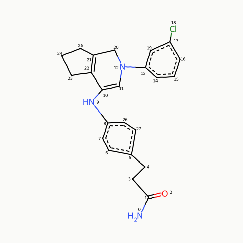 NC(=O)CCc1ccc(NC2=CN(c3cccc(Cl)c3)CC3=C2CCC3)cc1